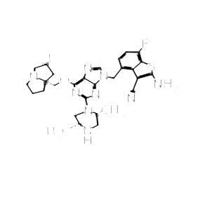 C[C@@H]1CN[C@@H](C)CN1c1nc(OC[C@@]23CCCN2C[C@H](F)C3)c2ncn(Cc3ccc(F)c4sc(N)c(C#N)c34)c2n1